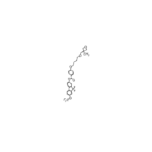 CC1(COCCCCOc2ccc(C(=O)Oc3ccc4c(c3)C(F)(F)c3cc(OC(F)(F)F)ccc3-4)cc2)COC1